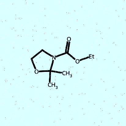 CCOC(=O)N1CCOC1(C)C